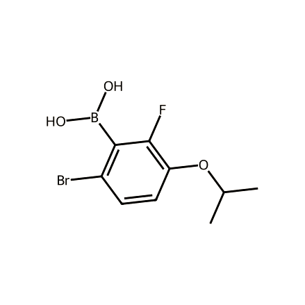 CC(C)Oc1ccc(Br)c(B(O)O)c1F